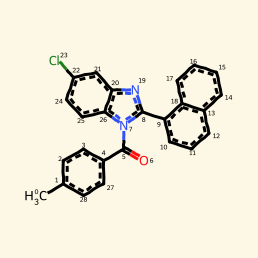 Cc1ccc(C(=O)n2c(-c3cccc4ccccc34)nc3cc(Cl)ccc32)cc1